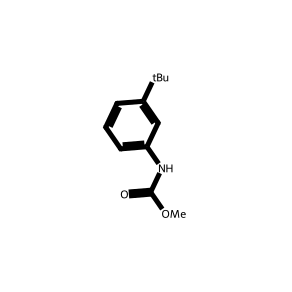 [CH2]OC(=O)Nc1cccc(C(C)(C)C)c1